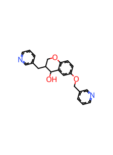 OC1c2cc(OCc3cccnc3)ccc2OCC1Cc1cccnc1